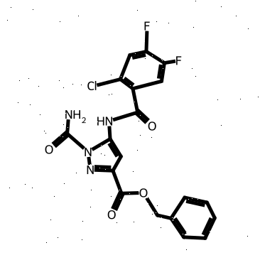 NC(=O)n1nc(C(=O)OCc2ccccc2)cc1NC(=O)c1cc(F)c(F)cc1Cl